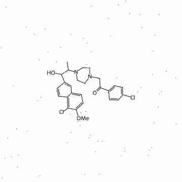 COc1ccc2cc(C(O)C(C)N3CCN(CC(=O)c4ccc(Cl)cc4)CC3)ccc2c1Cl